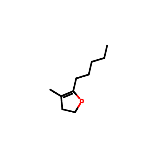 CCCCCC1=C(C)CCO1